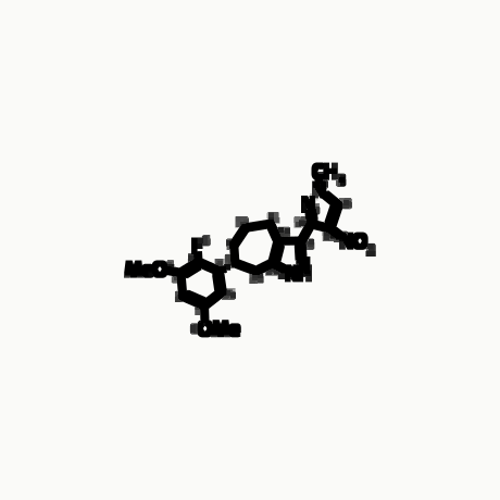 COc1cc(OC)c(F)c([C@@H]2CCCc3c(-c4nn(C)cc4[N+](=O)[O-])n[nH]c3C2)c1